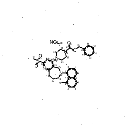 Cc1cccc2cccc(N3CCCc4nc(S(C)(=O)=O)nc(N5CCN(C(=O)OCc6ccccc6)[C@@H](CC#N)C5)c4C3)c12